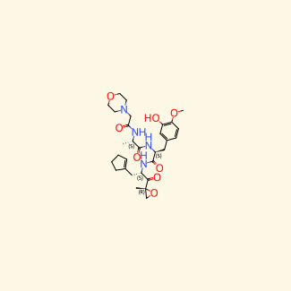 COc1ccc(C[C@H](NC(=O)[C@H](C)NC(=O)CN2CCOCC2)C(=O)N[C@@H](CC2=CCCC2)C(=O)[C@@]2(C)CO2)cc1O